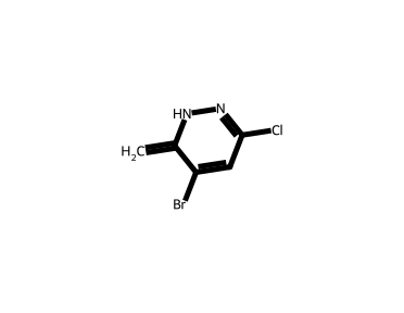 C=C1NN=C(Cl)C=C1Br